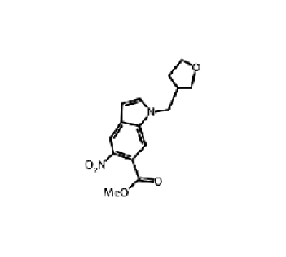 COC(=O)c1cc2c(ccn2CC2CCOC2)cc1[N+](=O)[O-]